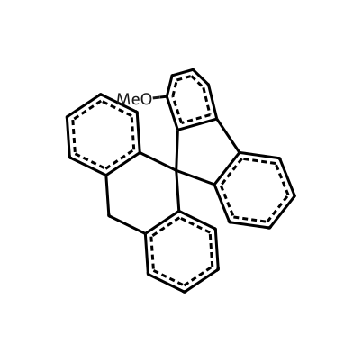 COc1cccc2c1C1(c3ccccc3Cc3ccccc31)c1ccccc1-2